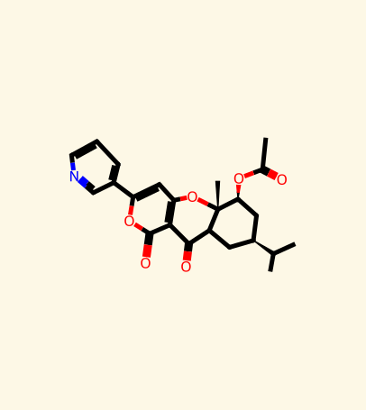 CC(=O)O[C@H]1C[C@@H](C(C)C)CC2C(=O)c3c(cc(-c4cccnc4)oc3=O)O[C@@]21C